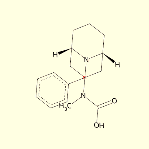 CN(C(=O)O)C1C[C@H]2CCC[C@@H](C1)N2Cc1ccccc1